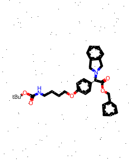 CC(C)(C)OC(=O)NCCCCOc1ccc([C@@H](C(=O)OCc2ccccc2)N2Cc3ccccc3C2)cc1